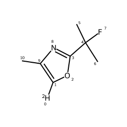 [2H]c1oc(C(C)(C)F)nc1C